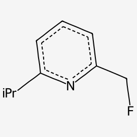 CC(C)c1cccc(CF)n1